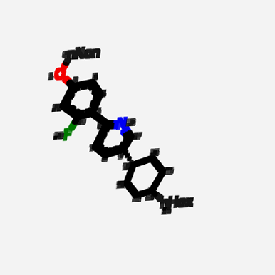 CCCCCCCCCOc1ccc(-c2ccc([C@H]3CC[C@H](CCCCCC)CC3)cn2)c(F)c1